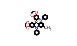 Cc1cc2c3c(c1)N(c1ccccc1)c1cc4c(cc1B3c1cc3c(cc1N2c1ccccc1)OCCO3)OCCO4